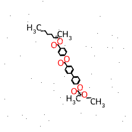 CCCCCC[C@@H](C)OC(=O)c1ccc(OC(=O)c2ccc(-c3ccc(OC(=O)[C@H](C)OCCC)cc3)cc2)cc1